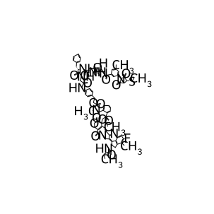 CCC(=O)N[C@H]1Cc2c(C)c(F)cc3nc4c(c1c23)Cn1c-4cc2c(c1=O)COC(=O)[C@@]2(CC)OC(=O)c1ccccc1CN(C)C(=O)OCc1ccc(NC(=O)CNC(=O)[C@H](Cc2ccccc2)NC(=O)CNC(=O)CNC(=O)c2cc(C)cc(N3C(=O)CC(SC)C3=O)c2)cc1